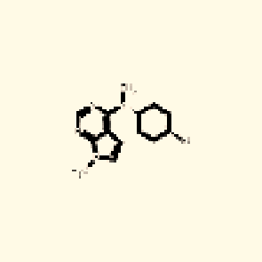 CC[C@H]1CC[C@H](N(C)c2ncnc3c2ccn3C)CC1